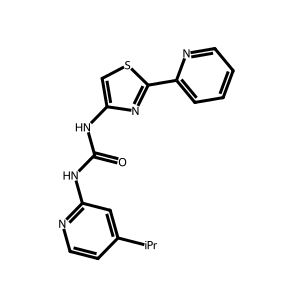 CC(C)c1ccnc(NC(=O)Nc2csc(-c3ccccn3)n2)c1